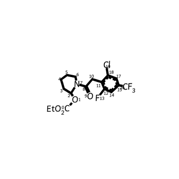 CCOC(=O)OC1CCCCN1C(=O)Cc1c(F)cc(C(F)(F)F)cc1Cl